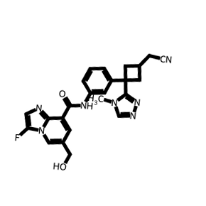 Cn1cnnc1C1(c2cccc(NC(=O)c3cc(CO)cn4c(F)cnc34)c2)CC(CC#N)C1